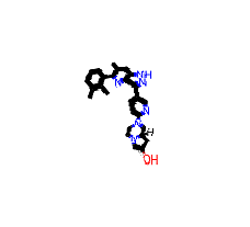 Cc1cc2[nH]nc(-c3ccc(N4CCN5C[C@H](O)C[C@H]5C4)nc3)c2nc1-c1cccc(C)c1C